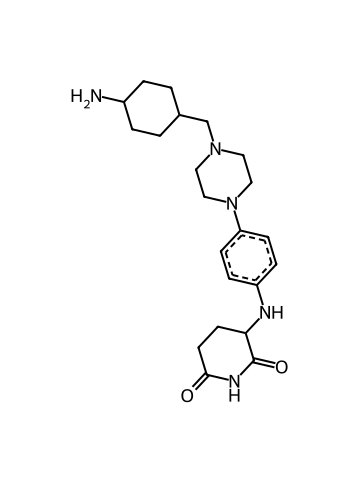 NC1CCC(CN2CCN(c3ccc(NC4CCC(=O)NC4=O)cc3)CC2)CC1